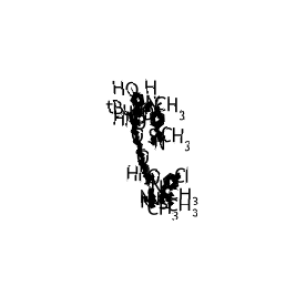 Cc1ncsc1-c1ccc([C@H](C)NC(=O)[C@@H]2C[C@@H](O)CN2C(=O)C(NC(=O)COCCCOCCNC(=O)C[C@@H]2N=C(c3ccc(Cl)cc3)c3c(sc(C)c3C)-n3c(C)nnc32)C(C)(C)C)cc1